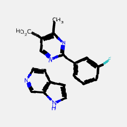 Cc1nc(-c2cccc(F)c2)ncc1C(=O)O.c1cc2cc[nH]c2cn1